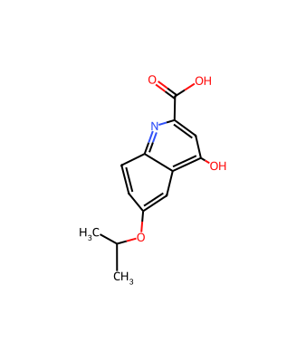 CC(C)Oc1ccc2nc(C(=O)O)cc(O)c2c1